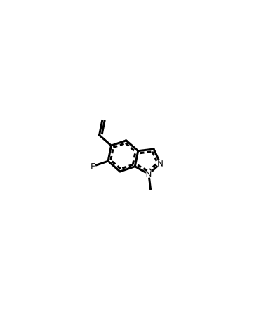 C=Cc1cc2cnn(C)c2cc1F